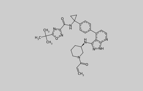 C=CC(=O)N1CCC[C@@H](Nc2n[nH]c3nccc(-c4ccc(C5(NC(=O)c6noc(C(C)(C)C)n6)CC5)cc4)c23)C1